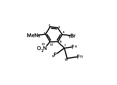 CNc1ccc(Br)c(C(F)(F)CF)c1[N+](=O)[O-]